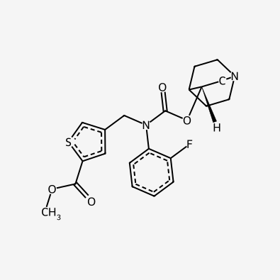 COC(=O)c1cc(CN(C(=O)O[C@H]2CN3CCC2CC3)c2ccccc2F)cs1